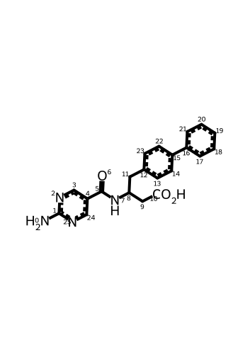 Nc1ncc(C(=O)NC(CC(=O)O)Cc2ccc(-c3ccccc3)cc2)cn1